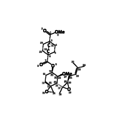 COC(=O)C12CCC(C(=O)O[C@@H]3CC[C@]4(CO4)[C@@H](C4(C)O[C@@H]4CC=C(C)C)[C@@H]3OC)(CC1)CC2